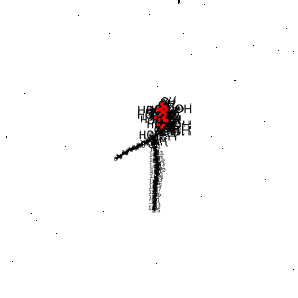 CCCCCCCCCCCCC/C=C/[C@@H](O)[C@H](CO[C@@H]1OC(CO)[C@@H](O[C@@H]2OC(CO)[C@H](O)[C@H](O[C@@H]3OC(CO)[C@@H](O[C@@H]4OC(CO)[C@H](O)[C@H](O[C@H]5OC(CO)[C@H](O)[C@H](O)C5O)C4O[C@H]4OC(C)[C@@H](O)C(O)[C@@H]4O)[C@H](O[C@H]4OC(C)[C@@H](O)C(O)[C@@H]4O)C3NC(C)=O)C2O)[C@H](O)C1O)NC(=O)CCCCCCCCCCCCCCCCCCCCCCCCC